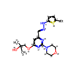 CCc1ccc(N/N=C/c2cc(OCC(C)(C)O)nc(N3CCOCC3)n2)s1